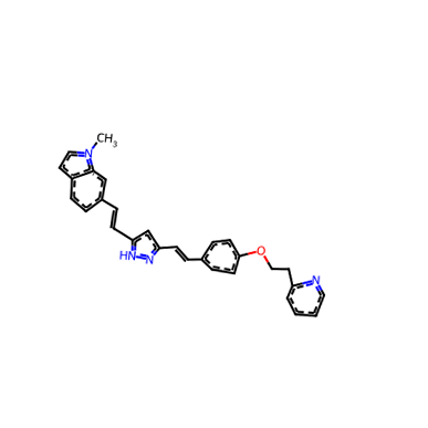 Cn1ccc2ccc(/C=C/c3cc(/C=C/c4ccc(OCCc5ccccn5)cc4)n[nH]3)cc21